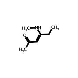 CCC(=CC(C)=O)NC